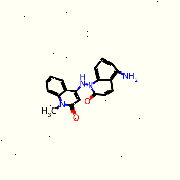 Cn1c(=O)cc(Nn2c(=O)ccc3c(N)cccc32)c2ccccc21